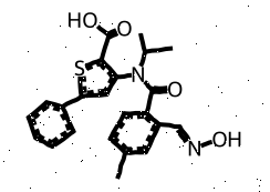 Cc1ccc(C(=O)N(c2cc(-c3ccccc3)sc2C(=O)O)C(C)C)c(C=NO)c1